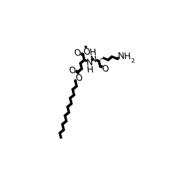 CCCCCCCCCCCCCCOC(=O)CCC(NN[C@@H](C=O)CCCCN)C(=O)OC